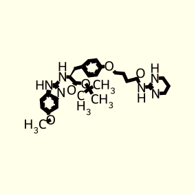 COc1ccc2[nH]c(N[C@@H](Cc3ccc(OCCCC(=O)NC4=NCCCN4)cc3)C(=O)OC(C)(C)C)nc2c1